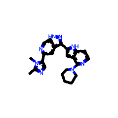 Cc1ncc(-c2cc3c(-c4cc5c(N6CCCCC6)nccc5[nH]4)n[nH]c3cn2)n1C